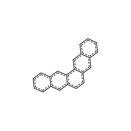 [c]1cccc2cc3ccc4cc5ccccc5cc4c3cc12